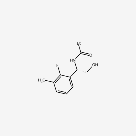 CCC(=O)N[C@H](CO)c1cccc(C)c1F